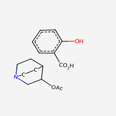 CC(=O)OC1CN2CCC1CC2.O=C(O)c1ccccc1O